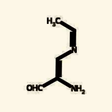 C/C=N\C=C(/N)C=O